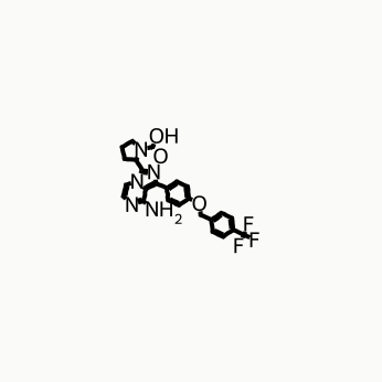 Nc1nccn2c(C3CCCN3C(=O)O)nc(-c3ccc(OCc4ccc(C(F)(F)F)cc4)cc3)c12